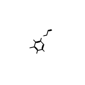 C=CCOc1cc(Cl)c(C=O)c(Cl)c1F